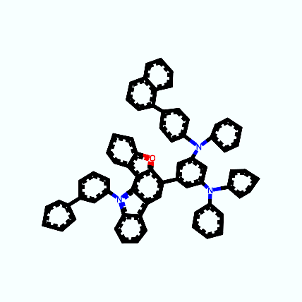 c1ccc(-c2cccc(-n3c4ccccc4c4cc(-c5cc(N(c6ccccc6)c6ccccc6)cc(N(c6ccccc6)c6ccc(-c7cccc8ccccc78)cc6)c5)c5oc6ccccc6c5c43)c2)cc1